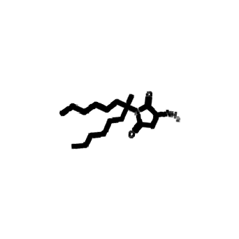 CCCCCCC(C)(CCCCCC)N1C(=O)CC(N)C1=O